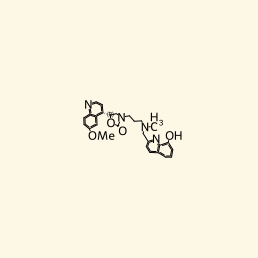 COc1ccc2nccc([C@@H]3CN(CCCN(C)Cc4ccc5cccc(O)c5n4)C(=O)O3)c2c1